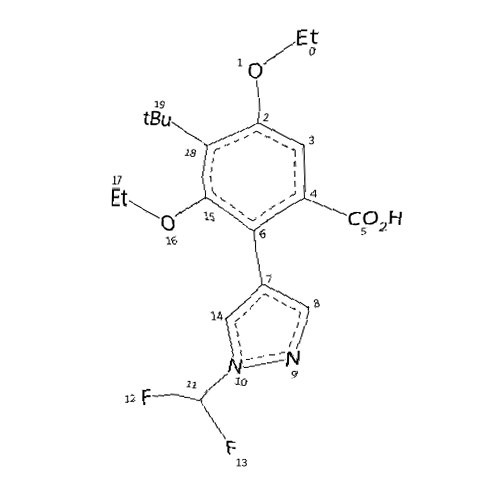 CCOc1cc(C(=O)O)c(-c2cnn(C(F)F)c2)c(OCC)c1C(C)(C)C